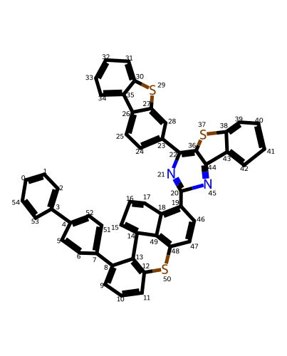 c1ccc(-c2ccc(-c3cccc4c3-c3cccc5c(-c6nc(-c7ccc8c(c7)sc7ccccc78)c7sc8ccccc8c7n6)ccc(c35)S4)cc2)cc1